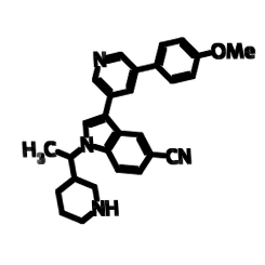 COc1ccc(-c2cncc(-c3cn(C(C)C4CCCNC4)c4ccc(C#N)cc34)c2)cc1